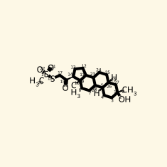 C[C@@]1(O)CC[C@@H]2C3CC[C@@]4(C)C(CC[C@@H]4C(=O)CSS(C)(=O)=O)C3CC[C@@H]2C1